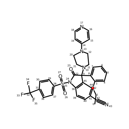 CCOc1ccccc1C1(N2CCN(c3ccncc3)CC2)C(=O)N(S(=O)(=O)c2ccc(C(F)(F)F)cc2)c2ccc(C#N)cc21